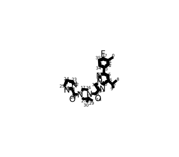 Cc1cc(-c2cc(C(C)C)c3nc(C(=O)N4CCN(C(=O)c5ncccn5)CC4(C)C)cn3n2)ccc1F